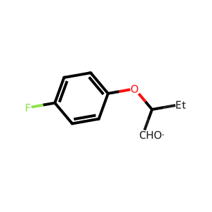 CCC([C]=O)Oc1ccc(F)cc1